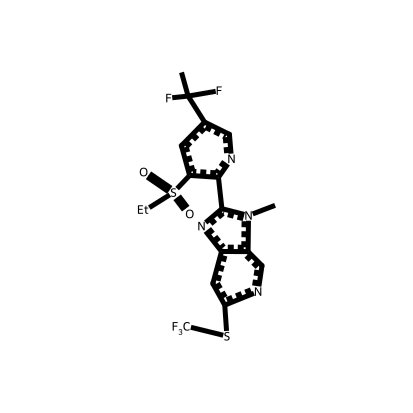 CCS(=O)(=O)c1cc(C(C)(F)F)cnc1-c1nc2cc(SC(F)(F)F)ncc2n1C